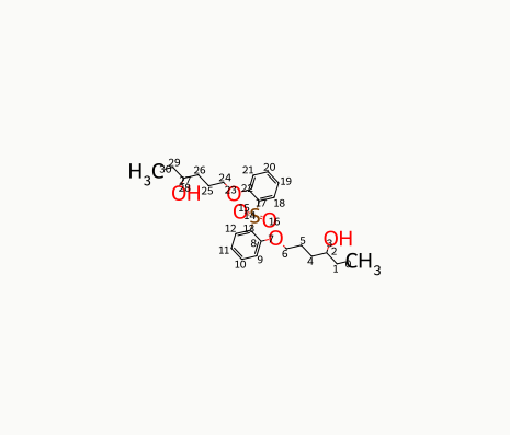 CCC(O)CCCOc1ccccc1S(=O)(=O)c1ccccc1OCCCC(O)CC